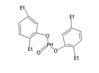 CCc1ccc(CC)c(O[PH](=O)Oc2cc(CC)ccc2CC)c1